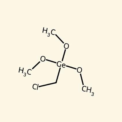 C[O][Ge]([CH2]Cl)([O]C)[O]C